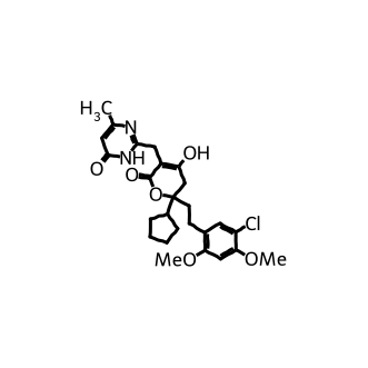 COc1cc(OC)c(CCC2(C3CCCC3)CC(O)=C(Cc3nc(C)cc(=O)[nH]3)C(=O)O2)cc1Cl